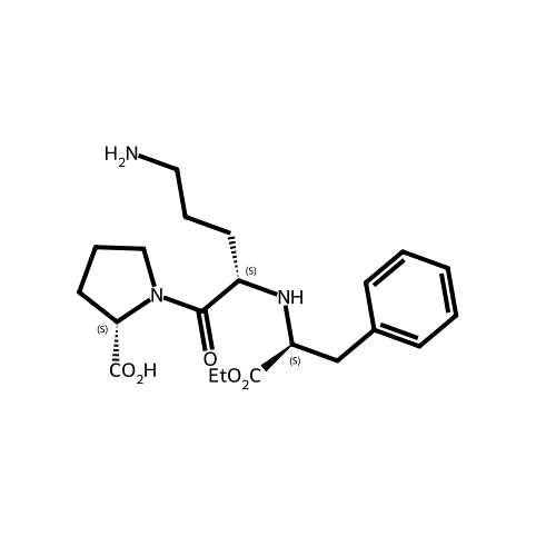 CCOC(=O)[C@H](Cc1ccccc1)N[C@@H](CCCN)C(=O)N1CCC[C@H]1C(=O)O